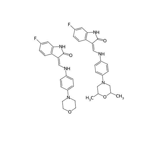 CC1CN(c2ccc(NC=C3C(=O)Nc4cc(F)ccc43)cc2)CC(C)O1.O=C1Nc2cc(F)ccc2C1=CNc1ccc(N2CCOCC2)cc1